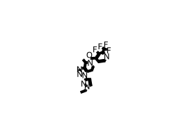 CCn1ccc(-n2nnc3c2CCN(C(=O)c2ccnc(C(F)(F)F)c2F)C3C)n1